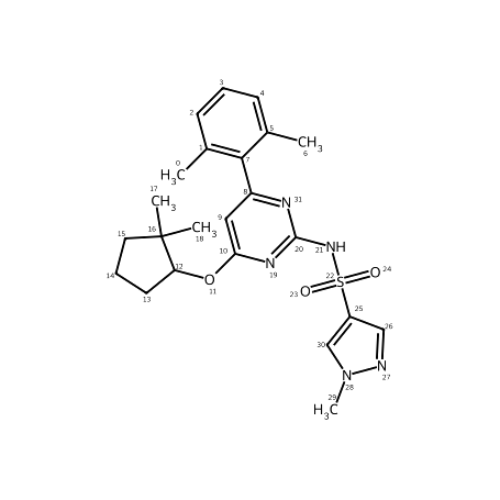 Cc1cccc(C)c1-c1cc(OC2CCCC2(C)C)nc(NS(=O)(=O)c2cnn(C)c2)n1